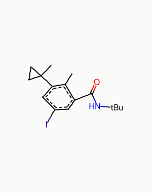 Cc1c(C(=O)NC(C)(C)C)cc(I)cc1C1(C)CC1